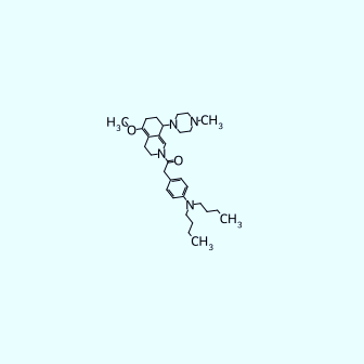 CCCCN(CCCC)c1ccc(CC(=O)N2C=C3C(=C(OC)CCC3N3CCN(C)CC3)CC2)cc1